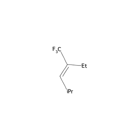 CC/C(=C\C(C)C)C(F)(F)F